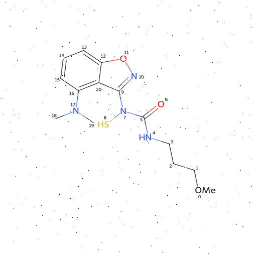 COCCCNC(=O)N(S)c1noc2cccc(N(C)C)c12